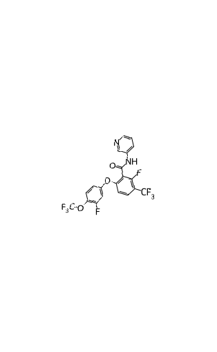 O=C(Nc1cccnc1)c1c(Oc2ccc(OC(F)(F)F)c(F)c2)ccc(C(F)(F)F)c1F